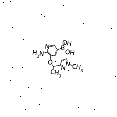 C[C@@H](Oc1cc(B(O)O)cnc1N)c1ccn(C)n1